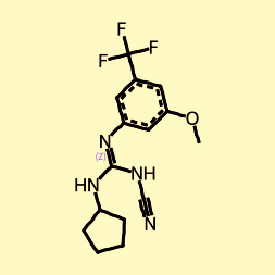 COc1cc(/N=C(\NC#N)NC2CCCC2)cc(C(F)(F)F)c1